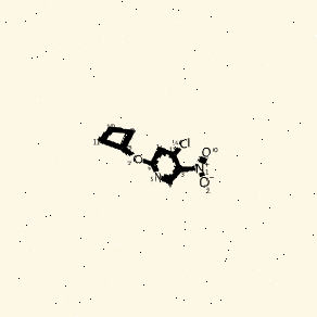 O=[N+]([O-])c1cnc(OC2CCC2)cc1Cl